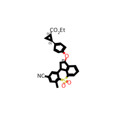 CCOC(=O)[C@H]1C[C@@H]1c1ccc(O[C@@H]2CC3c4cc(C#N)cc(C)c4S(=O)(=O)c4cccc2c43)cc1